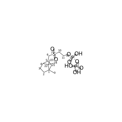 CC12CCC(C(CS(=O)(=O)CCOP(=O)(O)OP(=O)(O)O)C1)C2(C)C